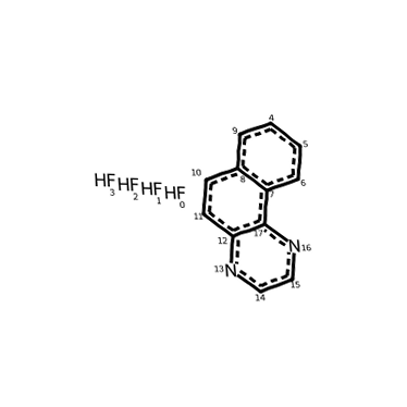 F.F.F.F.c1ccc2c(c1)ccc1nccnc12